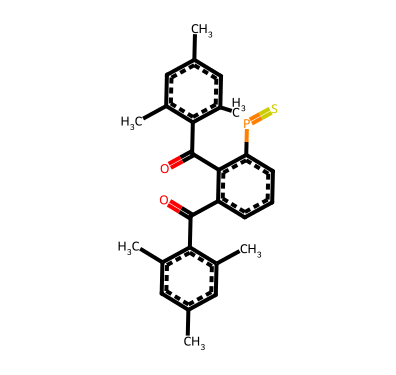 Cc1cc(C)c(C(=O)c2cccc(P=S)c2C(=O)c2c(C)cc(C)cc2C)c(C)c1